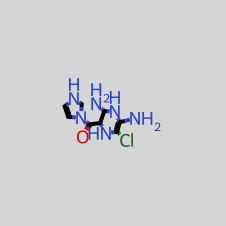 NC1=C(Cl)NC(C(=O)N2C=CNC2)C(N)N1